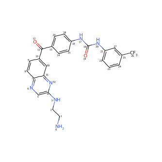 NCCNc1cnc2ccc(C(=O)c3ccc(NC(=O)Nc4cccc(C(F)(F)F)c4)cc3)cc2n1